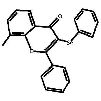 Cc1cccc2c(=O)c([Se]c3ccccc3)c(-c3ccccc3)oc12